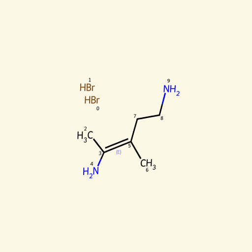 Br.Br.C/C(N)=C(/C)CCN